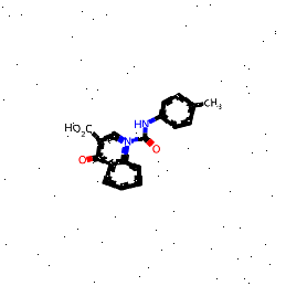 Cc1ccc(NC(=O)n2cc(C(=O)O)c(=O)c3ccccc32)cc1